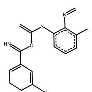 C=Nc1c(C)cccc1SC(=C)OC(=N)C1=CCCC(CC)=C1